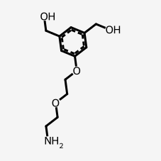 NCCOCCOc1cc(CO)cc(CO)c1